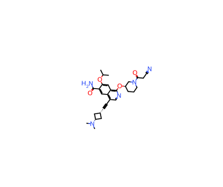 CC(C)Oc1cc2c(O[C@@H]3CCCN(C(=O)CC#N)C3)ncc(C#C[C@H]3C[C@@H](N(C)C)C3)c2cc1C(N)=O